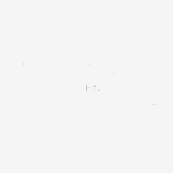 CCCCSC(=O)NC(=O)OCC